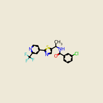 CC(NC(=O)c1cccc(Cl)c1)c1cnc(-c2ccnc(C(F)(F)F)c2)s1